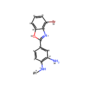 CC(C)Nc1ccc(-c2nc3c(Br)cccc3o2)cc1N